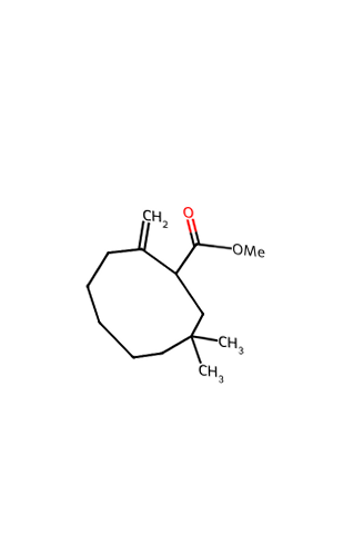 C=C1CCCCCC(C)(C)CC1C(=O)OC